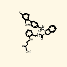 COC(=O)CCNc1ccccc1CNC(=O)[C@@H]1Cc2ccccc2N1S(=O)(=O)c1ccc(-c2ccc(F)cc2OC)cc1